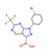 O=C(O)c1nn(-c2cccc(Br)c2)c2nc(C(F)(F)F)ncc12